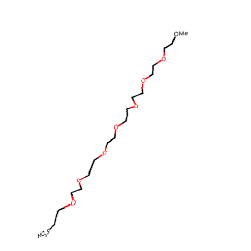 COCCOCCOCCOCCOCCOCCOCCOCCS(=O)(=O)O